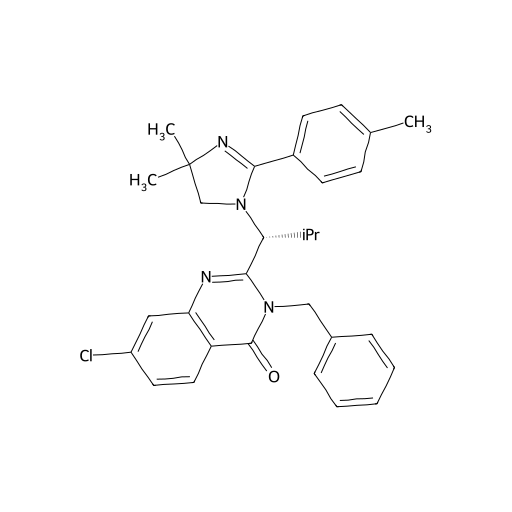 Cc1ccc(C2=NC(C)(C)CN2[C@@H](c2nc3cc(Cl)ccc3c(=O)n2Cc2ccccc2)C(C)C)cc1